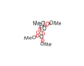 CCOC1C(=O)c2c(OCOC)cc(OCOC)cc2OC1c1ccc(OCOC)c(OC)c1